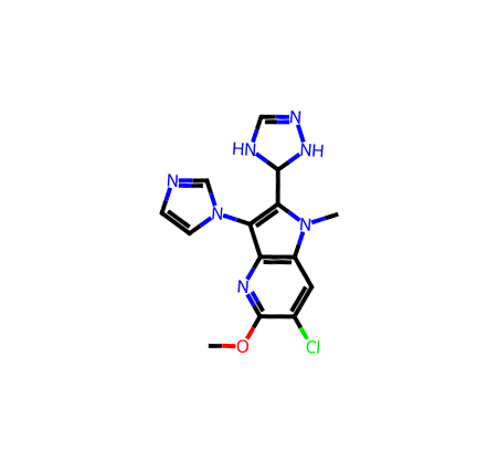 COc1nc2c(-n3ccnc3)c(C3NC=NN3)n(C)c2cc1Cl